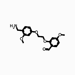 COc1ccc(C=O)c(OCCOc2ccc(CN)c(OC)c2)c1